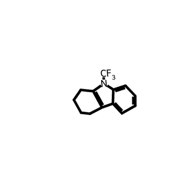 FC(F)(F)n1c2c(c3ccccc31)CCCC2